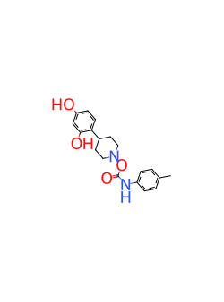 Cc1ccc(NC(=O)ON2CCC(c3ccc(O)cc3O)CC2)cc1